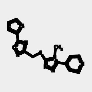 Cn1c(SCc2noc(-c3cccs3)n2)nnc1-c1ccncc1